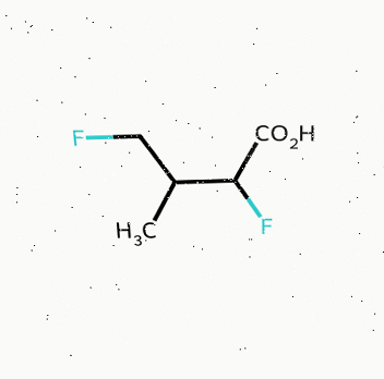 CC(CF)C(F)C(=O)O